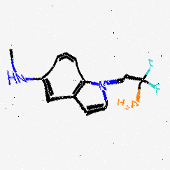 CNc1ccc2c(ccn2CC(F)(F)P)c1